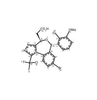 COc1cccc([C@H]2O[C@H](CC(=O)O)c3nnc(C(F)(F)Cl)n3-c3ccc(Br)cc32)c1Cl